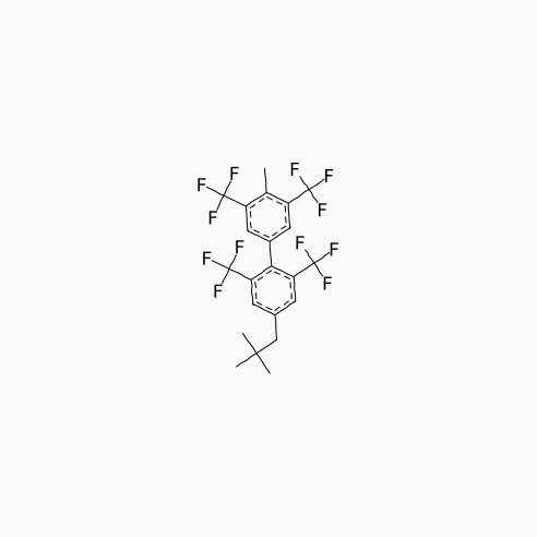 Cc1c(C(F)(F)F)cc(-c2c(C(F)(F)F)cc(CC(C)(C)C)cc2C(F)(F)F)cc1C(F)(F)F